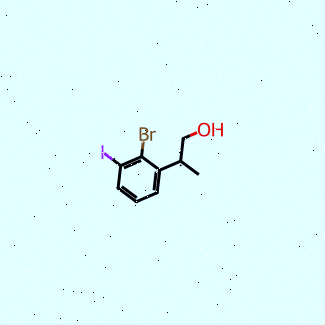 C[C](CO)c1cccc(I)c1Br